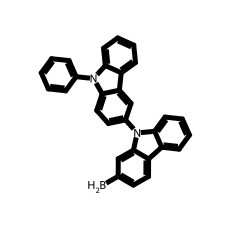 Bc1ccc2c3ccccc3n(-c3ccc4c(c3)c3ccccc3n4-c3ccccc3)c2c1